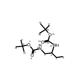 CCC(CNC(=O)OC(C)(C)C)NC(=O)OC(C)(C)C